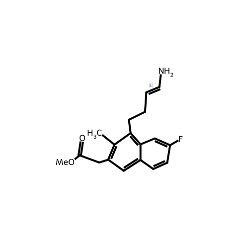 COC(=O)Cc1cc2ccc(F)cc2c(CC/C=C/N)c1C